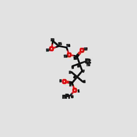 CCCOC(=O)C(C)(C)CC(C)(CC)C(=O)OCC1CO1